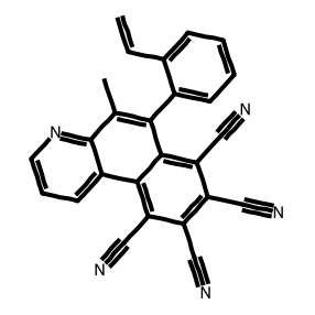 C=Cc1ccccc1-c1c(C)c2ncccc2c2c(C#N)c(C#N)c(C#N)c(C#N)c12